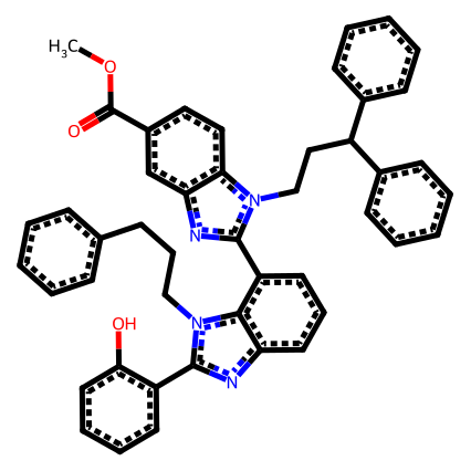 COC(=O)c1ccc2c(c1)nc(-c1cccc3nc(-c4ccccc4O)n(CCCc4ccccc4)c13)n2CCC(c1ccccc1)c1ccccc1